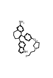 Nc1ccc2c(c1)CCCC(c1ccc3[nH]ccc3c1)=C2c1ccc(O[C@H]2CCN(CCCF)C2)cc1